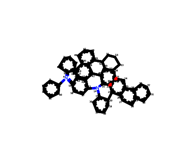 c1ccc(-n2c3ccccc3c3cc(N(c4ccccc4-c4cccc5c4ccc4ccccc45)c4ccccc4-c4cccc5cccc(C6CCCCC6)c45)ccc32)cc1